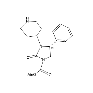 COC(=O)N1C[C@@H](c2ccccc2)N(C2CCNCC2)C1=O